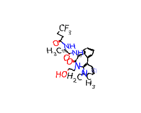 C=NC1=C(/C=C\C)c2ccccc2[C@H](NC(=O)[C@H](C)NC(=O)CCC(F)(F)F)C(=O)N1CCO